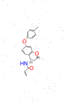 C=CC(=O)N[C@H]1C[C@@H](C)Oc2cc(Oc3ccc(C)cc3)ccc21